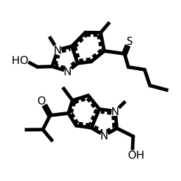 CCCCC(=S)c1cc2nc(CO)n(C)c2cc1C.Cc1cc2c(cc1C(=O)C(C)C)nc(CO)n2C